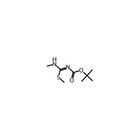 CNC(=NC(=O)OC(C)(C)C)SC